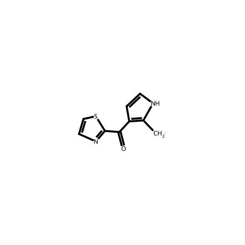 [CH2]c1[nH]ccc1C(=O)c1nccs1